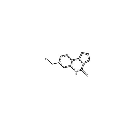 O=c1[nH]c2cc(CCl)cnc2c2cccn12